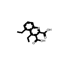 CCc1cccc2nc(C(=O)O)c(C(=O)O)c(CC)c12